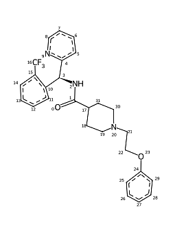 O=C(N[C@H](c1ccccn1)c1ccccc1C(F)(F)F)C1CCN(CCOc2ccccc2)CC1